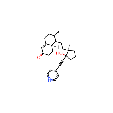 C[C@@H]1CCC2=CC(=O)CC[C@@H]2[C@@H]1CC[C@@]1(C)CCCC1(O)C#Cc1ccncc1